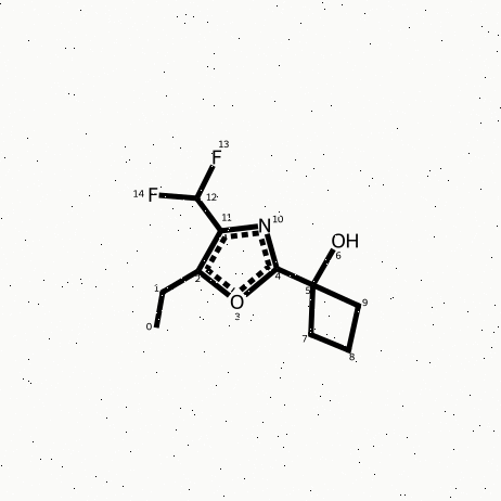 CCc1oc(C2(O)CCC2)nc1C(F)F